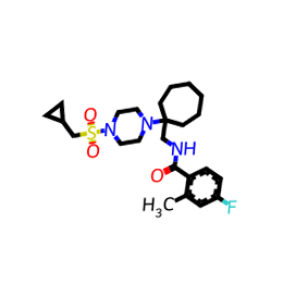 Cc1cc(F)ccc1C(=O)NCC1(N2CCN(S(=O)(=O)CC3CC3)CC2)CCCCCC1